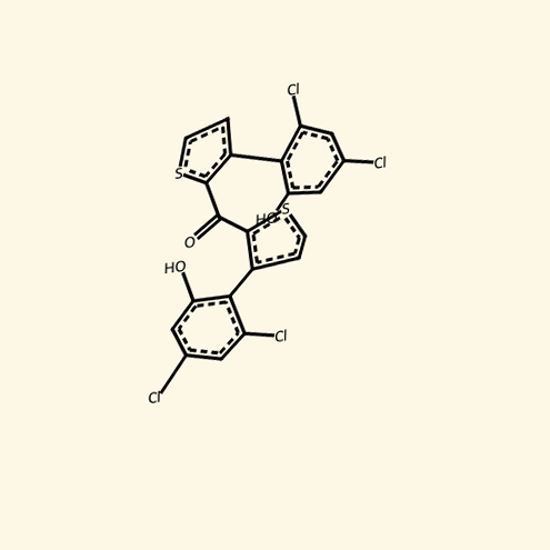 O=C(c1sccc1-c1c(O)cc(Cl)cc1Cl)c1sccc1-c1c(O)cc(Cl)cc1Cl